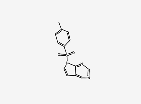 Cc1ccc(S(=O)(=O)n2ccc3cncnc32)cc1